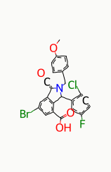 COc1ccc(CN2C(=C=O)c3cc(Br)cc(C(=O)O)c3C2c2cc(F)ccc2Cl)cc1